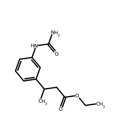 CCOC(=O)CC(C)c1cccc(NC(N)=O)c1